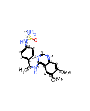 COc1cc2ncnc(N[C@@H](C)c3ccc(N[S+](N)[O-])cc3)c2cc1OC